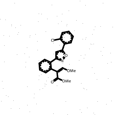 COC=C(C(=O)OC)c1ccccc1-c1cc(-c2ccccc2Cl)on1